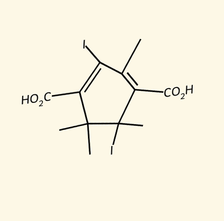 CC1=C(C(=O)O)C(C)(I)C(C)(C)C(C(=O)O)=C1I